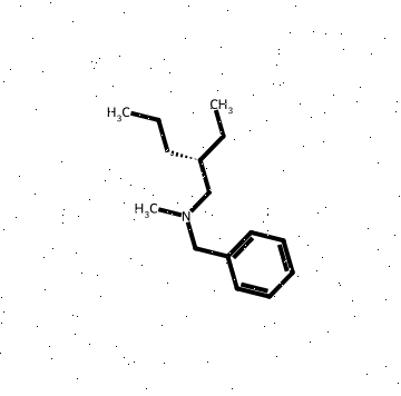 CCC[C@H](CC)CN(C)Cc1ccccc1